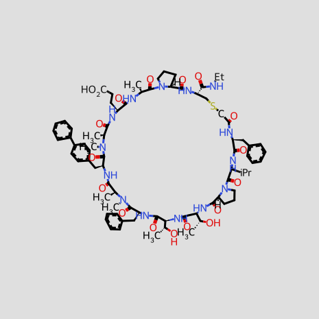 CCNC(=O)[C@@H]1CSCC(=O)N[C@@H](Cc2ccccc2)C(=O)NC(C(C)C)C(=O)N2CCC[C@H]2C(=O)N[C@@H]([C@@H](C)O)C(=O)N[C@@H]([C@@H](C)O)C(=O)N[C@@H](Cc2ccccc2)C(=O)N(C)[C@@H](C)C(=O)N[C@@H](Cc2ccc(-c3ccccc3)cc2)C(=O)N(C)[C@@H](C)C(=O)N[C@@H](CCC(=O)O)C(=O)N[C@@H](C)C(=O)N2CCC[C@H]2C(=O)N1